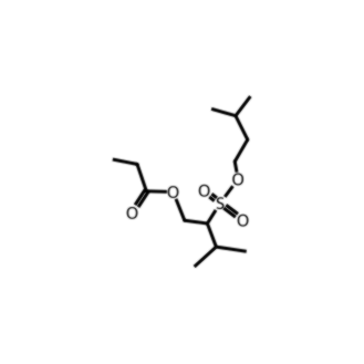 CCC(=O)OCC(C(C)C)S(=O)(=O)OCCC(C)C